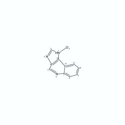 [O-][NH+]1C=Nc2cnc3ccccc3c21